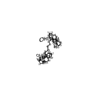 O=CC1(CCCCCCC2(C=O)CCCC3CC[C@H]4[C@@H]5CCC[C@H]5CC[C@H]4[C@H]32)CCCC2CC[C@H]3[C@@H]4CCC[C@H]4CC[C@H]3[C@H]21